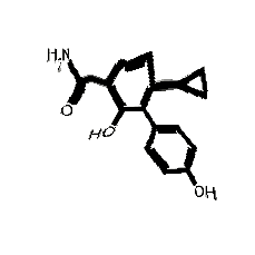 NC(=O)c1ccc(C2CC2)c(-c2ccc(O)cc2)c1O